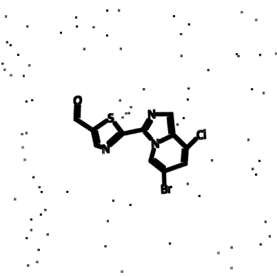 O=Cc1cnc(-c2ncc3c(Cl)cc(Br)cn23)s1